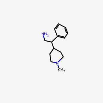 CN1CCC(C(CN)c2ccccc2)CC1